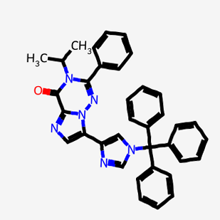 CC(C)n1c(-c2ccccc2)nn2c(-c3cn(C(c4ccccc4)(c4ccccc4)c4ccccc4)cn3)cnc2c1=O